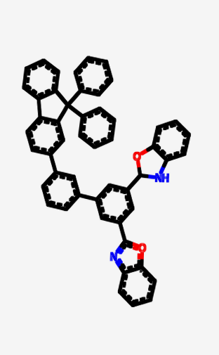 c1ccc(C2(c3ccccc3)c3ccccc3-c3ccc(-c4cccc(-c5cc(-c6nc7ccccc7o6)cc(C6Nc7ccccc7O6)c5)c4)cc32)cc1